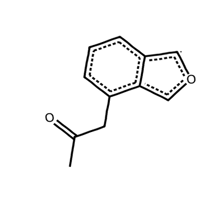 CC(=O)Cc1cccc2[c]occ12